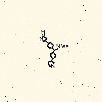 CNCC(c1ccc(-c2cccnc2)cc1)c1ccc(-c2cn[nH]c2)cc1